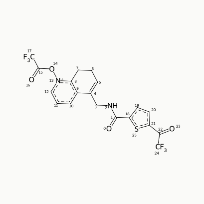 O=C(NCC1=CCCc2c1ccc[n+]2OC(=O)C(F)(F)F)c1ccc(C(=O)C(F)(F)F)s1